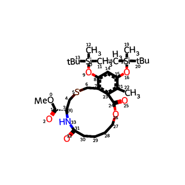 COC(=O)[C@@H]1CSCc2c(O[Si](C)(C)C(C)(C)C)cc(O[Si](C)(C)C(C)(C)C)c(C)c2C(=O)OCCCCC(=O)N1